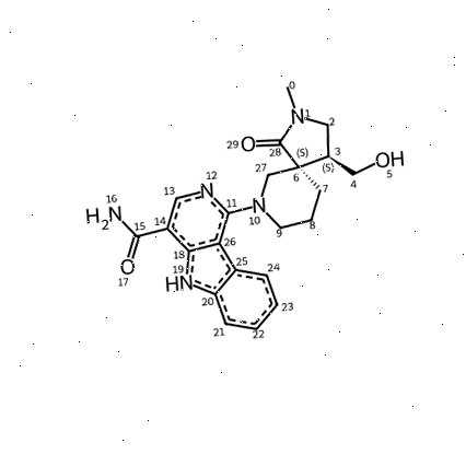 CN1C[C@@H](CO)[C@]2(CCCN(c3ncc(C(N)=O)c4[nH]c5ccccc5c34)C2)C1=O